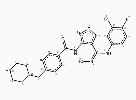 O=C(Nc1nonc1/C(=N\O)Nc1ccc(F)c(Br)c1)c1ccc(CN2CCNCC2)cc1